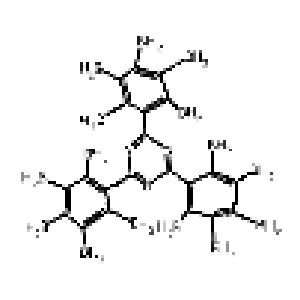 Bc1c(B)c(B)c(-c2nc(-c3c(B)c(B)c(B)c(B)c3B)nc(-c3c(B)c(B)c(B)c(B)c3B)n2)c(B)c1B